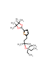 CC[Si](CC)(CC)OC(C)(C)CCc1ccc(B2OC(C)(C)C(C)(C)O2)s1